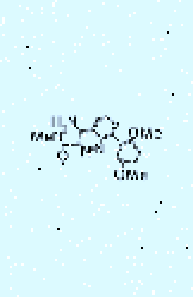 CNC(=O)c1nnc2c(-c3cc(OC)ccc3OC)cccc2c1N